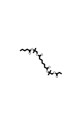 CCCCC(=O)OC(C)(C)COC(=O)CCCCCC(=O)OC(C)(C)COC(=O)CC